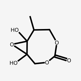 CC1COC(=O)OCC2(O)OC12O